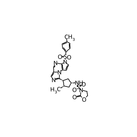 Cc1ccc(S(=O)(=O)n2ccc3c2ncc2cnc([C@H]4C[C@@H](NS(=O)(=O)N5CCOC5=O)C[C@H]4C)n23)cc1